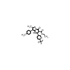 CCOC(=O)c1c(-c2ccc(C(F)(F)F)nc2)[nH]c2c(-c3ccc(C)cc3)c(C)nn2c1=O